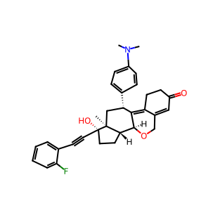 CN(C)c1ccc([C@H]2C[C@@]3(C)[C@@H](CC[C@@]3(O)C#Cc3ccccc3F)[C@@H]3OCC4=CC(=O)CCC4=C32)cc1